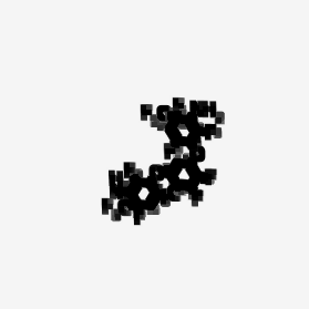 NC1=C(F)C(Oc2cc(OC3C(F)=CC(F)(C(F)(F)F)C(N)=C3F)c(C(F)(F)F)c(F)c2F)C(F)=CC1(F)C(F)(F)F